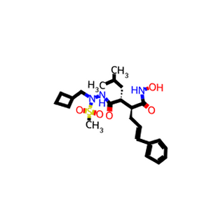 CC(C)C[C@@H](C(=O)NN(CC1CCC1)S(C)(=O)=O)[C@H](CC=Cc1ccccc1)C(=O)NO